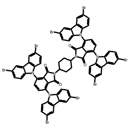 O=C1c2c(-n3c4ccc(Br)cc4c4cc(Br)ccc43)ccc(-n3c4ccc(Br)cc4c4cc(Br)ccc43)c2C(=O)N1C1CCC(N2C(=O)c3c(-n4c5ccc(Br)cc5c5cc(Br)ccc54)ccc(-n4c5ccc(Br)cc5c5cc(Br)ccc54)c3C2=O)CC1